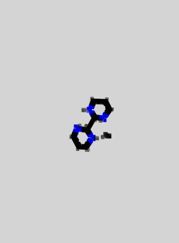 [Ru].c1cnc(-c2ncccn2)nc1